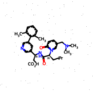 Cc1cccc(C)c1-c1cncc([C@H](CC(=O)O)NC(=O)[C@H](CC(C)C)n2cc(CN(C)C)ccc2=O)c1